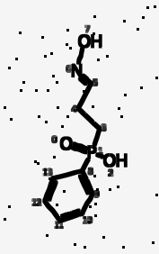 O=P(O)(CCC=NO)c1ccccc1